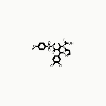 COc1ccc(S(=O)(=O)N(C)C(=O)C2=C(C)N(C(=O)O)c3ccnn3C2c2ccc(Cl)c(Cl)c2)cc1